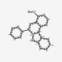 COc1cccc2c1cc(-c1ccccc1)n1nc3ccccc3c21